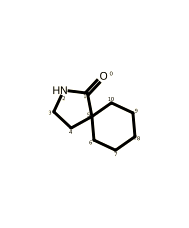 O=C1NCCC12CC[CH]CC2